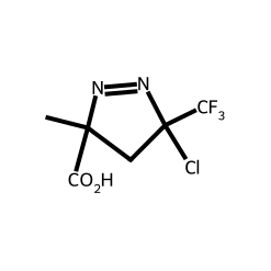 CC1(C(=O)O)CC(Cl)(C(F)(F)F)N=N1